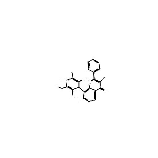 CC1=C(C(=O)O)C(c2cccc3c(=O)c(C)c(-c4ccccc4)oc23)C(C(=O)O)=C(CO)N1